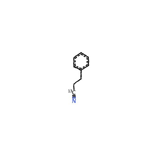 N#[13C]CCc1ccccc1